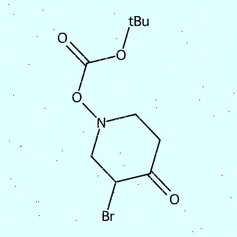 CC(C)(C)OC(=O)ON1CCC(=O)C(Br)C1